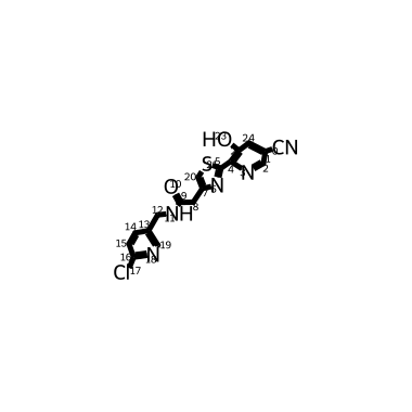 N#Cc1cnc(-c2nc(CC(=O)NCc3ccc(Cl)nc3)cs2)c(O)c1